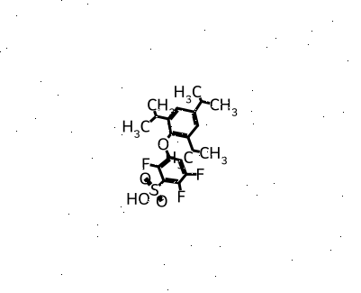 CC(C)c1cc(C(C)C)c(Oc2cc(F)c(F)c(S(=O)(=O)O)c2F)c(C(C)C)c1